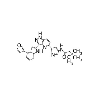 CC(C)(C)CC(=O)Nc1cncc(-c2ccc3[nH]nc(-c4cc5c(-c6ccoc6)cccc5[nH]4)c3n2)c1